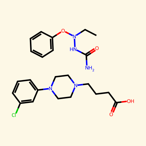 CCN(NC(N)=O)Oc1ccccc1.O=C(O)CCCN1CCN(c2cccc(Cl)c2)CC1